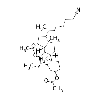 CC[C@@H]1C2C[C@H](OC(C)=O)CC[C@@]2(C)[C@H]2CCC3(C)C([C@H](C)CCCCCC#N)CC[C@H]3C2[C@@H]1OC(C)=O